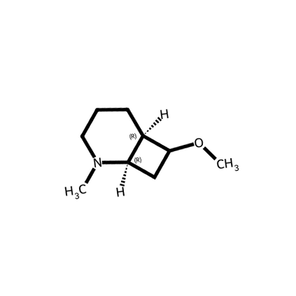 COC1C[C@@H]2[C@H]1CCCN2C